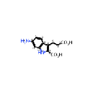 Nc1ccc2c(CCC(=O)O)c(C(=O)O)[nH]c2c1